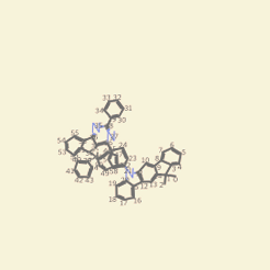 CC1(C)c2ccccc2-c2cc3c(cc21)c1ccccc1n3-c1ccc(-c2nc(-c3ccccc3)nc3c2[Si](c2ccccc2)(c2ccccc2)c2ccccc2-3)cc1